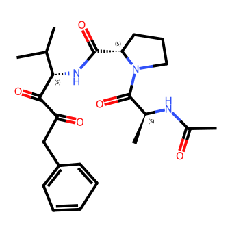 CC(=O)N[C@@H](C)C(=O)N1CCC[C@H]1C(=O)N[C@H](C(=O)C(=O)Cc1ccccc1)C(C)C